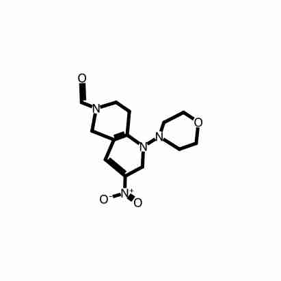 O=CN1CCC2=C(C=C([N+](=O)[O-])CN2N2CCOCC2)C1